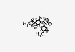 Cc1ccc(C2=C(c3cc(F)c(S(C)(=O)=O)cc3F)COC2=O)cc1F